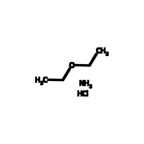 CCOCC.Cl.N